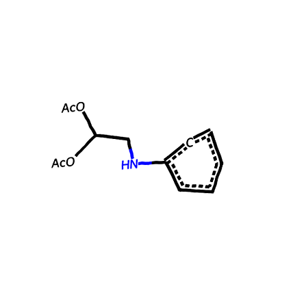 CC(=O)OC(CNc1ccccc1)OC(C)=O